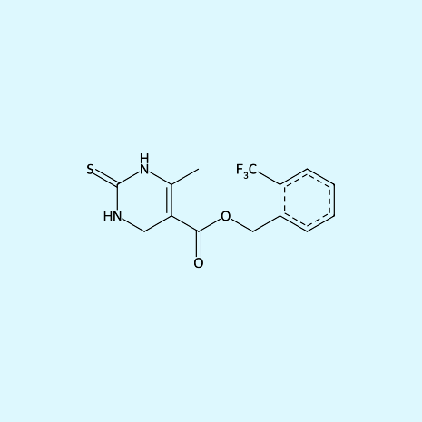 CC1=C(C(=O)OCc2ccccc2C(F)(F)F)CNC(=S)N1